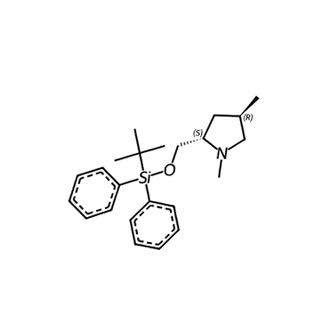 C[C@@H]1C[C@@H](CO[Si](c2ccccc2)(c2ccccc2)C(C)(C)C)N(C)C1